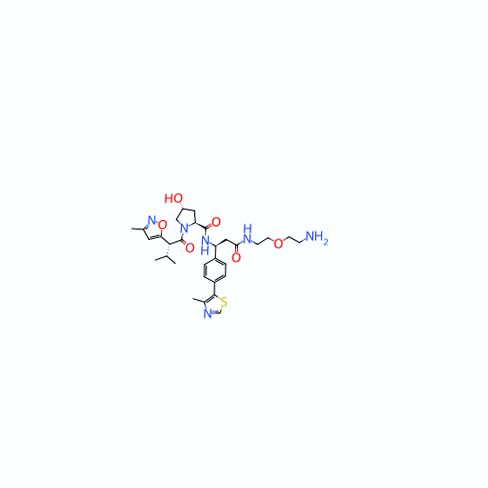 Cc1cc([C@H](C(=O)N2C[C@H](O)C[C@H]2C(=O)N[C@@H](CC(=O)NCCOCCN)c2ccc(-c3scnc3C)cc2)C(C)C)on1